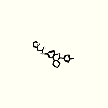 Cc1ccc(C2Nc3ccc(NC(=O)CC4CCCO4)cc3C3CCCCC32)cc1